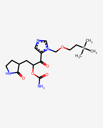 C[Si](C)(C)CCOCn1cncc1C(=O)C(CC1CCNC1=O)OC(N)=O